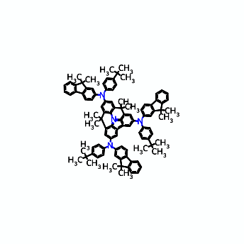 CC(C)(C)c1ccc(N(c2ccc3c(c2)C(C)(C)c2ccccc2-3)c2cc3c4c(c2)C(C)(C)c2cc(N(c5ccc(C(C)(C)C)cc5)c5ccc6c(c5)C(C)(C)c5ccccc5-6)cc5c6cc(N(c7ccc(C(C)(C)C)cc7)c7ccc8c(c7)C(C)(C)c7ccccc7-8)cc(c6n-4c25)C3(C)C)cc1